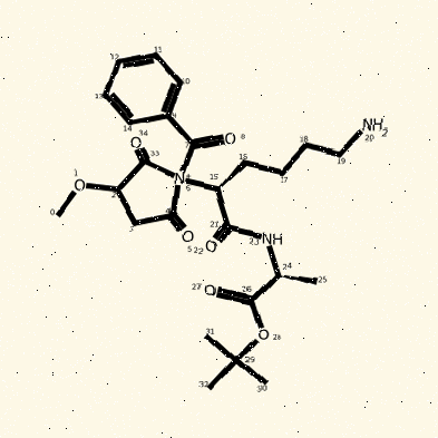 COC1CC(=O)[N+](C(=O)c2ccccc2)([C@@H](CCCCN)C(=O)N[C@@H](C)C(=O)OC(C)(C)C)C1=O